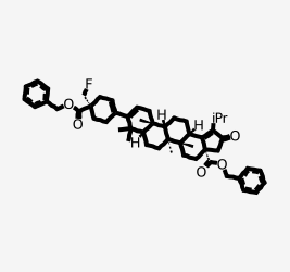 CC(C)C1=C2[C@H]3CC[C@H]4[C@@]5(C)CC=C(C6=CC[C@](CF)(C(=O)OCc7ccccc7)CC6)C(C)(C)[C@H]5CC[C@]4(C)[C@@]3(C)CC[C@]2(C(=O)OCc2ccccc2)CC1=O